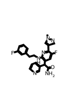 Cn1cc(-c2nc(NCCc3cccc(F)c3)c(C(C(N)=O)c3cccnc3)cc2F)cn1